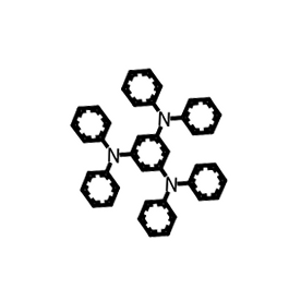 c1ccc(N(c2ccccc2)c2cc(N(c3ccccc3)c3ccccc3)cc(N(c3ccccc3)c3ccccc3)c2)cc1